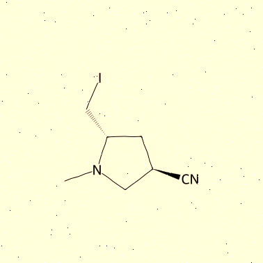 CN1C[C@H](C#N)C[C@H]1CI